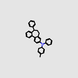 CC1=CCC(N(c2ccccc2)c2ccc3c(c2)CCC(c2ccccc2)c2ccccc2-3)C=C1